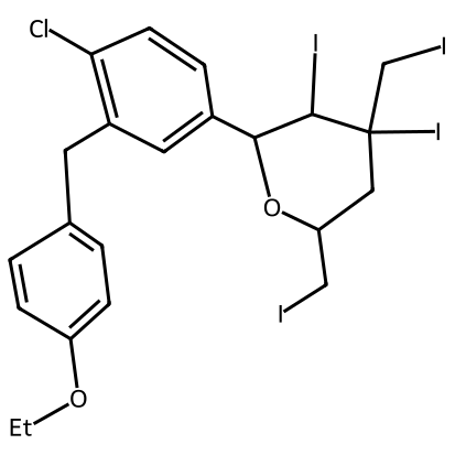 CCOc1ccc(Cc2cc(C3OC(CI)CC(I)(CI)C3I)ccc2Cl)cc1